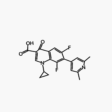 Cc1cc(-c2c(F)cc3c(=O)c(C(=O)O)cn(C4CC4)c3c2F)cc(C)n1